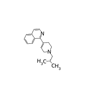 C[C](C)CN1CC=C(c2nccc3ccccc23)CC1